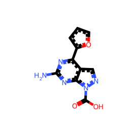 Nc1nc(-c2ccco2)c2cnn(C(=O)O)c2n1